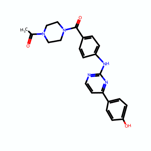 CC(=O)N1CCN(C(=O)c2ccc(Nc3nccc(-c4ccc(O)cc4)n3)cc2)CC1